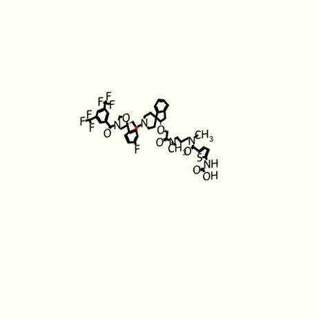 CN(CCCN(C)C(=O)c1ccc(NC(=O)O)s1)C(=O)CO[C@H]1Cc2ccccc2C12CCN(CC[C@]1(c3ccc(F)cc3)CN(C(=O)c3cc(C(F)(F)F)cc(C(F)(F)F)c3)CO1)CC2